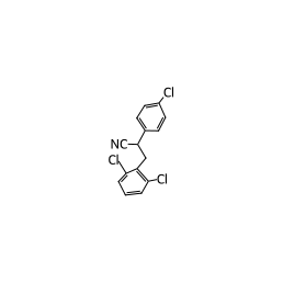 N#CC(Cc1c(Cl)cccc1Cl)c1ccc(Cl)cc1